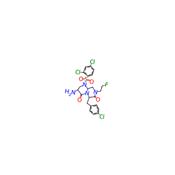 NC1CN(S(=O)(=O)c2ccc(Cl)cc2Cl)C2CN(CCF)C(=O)C(Cc3ccc(Cl)cc3)N2C1=O